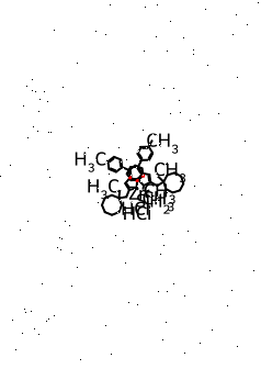 CCC1(CC2=Cc3c(-c4ccc(C)cc4)cccc3[CH]2[Zr]([CH3])([CH3])(=[SiH2])[CH]2C(CC3(CC)CCCCCCC3)=Cc3c(-c4ccc(C)cc4)cccc32)CCCCCCC1.Cl.Cl